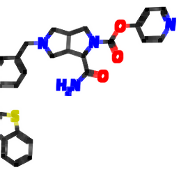 NC(=O)C1C2CN(Cc3ccc(Oc4nc5ccccc5s4)cc3)CC2CN1C(=O)Oc1ccncc1